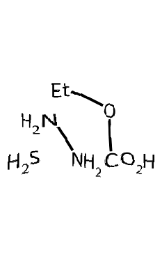 CCOC(=O)O.NN.S